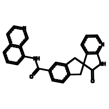 O=C(Nc1cccc2ccncc12)c1ccc2c(c1)CC1(C2)C(=O)Nc2ncccc21